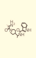 CC(NC(=O)c1c[nH]c2ccccc12)C1CCN(C(=O)[C@H](C)N)CC1